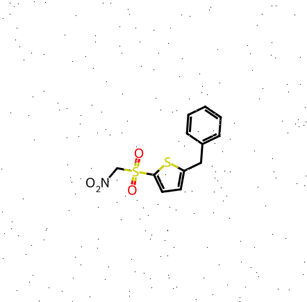 O=[N+]([O-])CS(=O)(=O)c1ccc(Cc2ccccc2)s1